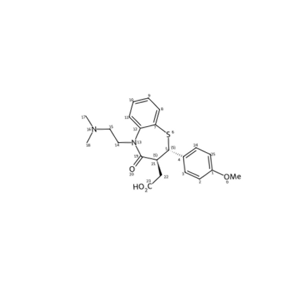 COc1ccc([C@H]2Sc3ccccc3N(CCN(C)C)C(=O)[C@@H]2CC(=O)O)cc1